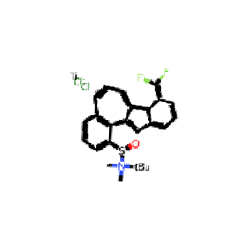 CC(C)(C)[N+](C)(C)[Si](=O)c1cccc2c1C1=CC3=CC=CC(=C(F)F)C3C1=CC=C2.[Cl-].[Cl-].[Ti]